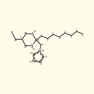 CCCCCCCCC1(Cn2ccnc2)SCC(CC)CS1